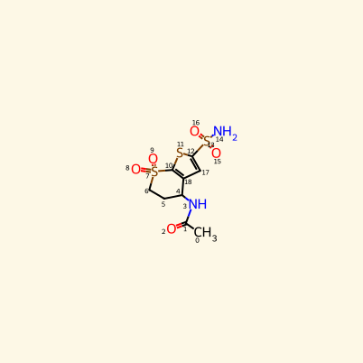 CC(=O)NC1CCS(=O)(=O)c2sc(S(N)(=O)=O)cc21